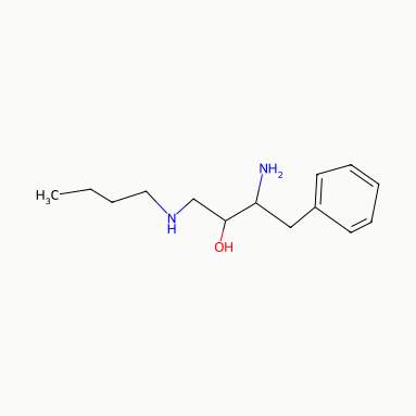 CCCCNCC(O)C(N)Cc1ccccc1